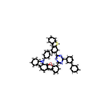 c1ccc(-c2cccc(-c3nc(-c4ccc5c(c4)sc4ccccc45)nc(-c4cccc5c4oc4c5ccc5c6ccccc6n(-c6ccccc6)c54)n3)c2)cc1